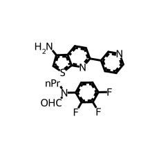 CCCN(C=O)c1ccc(F)c(F)c1F.Nc1csc2nc(-c3cccnc3)ccc12